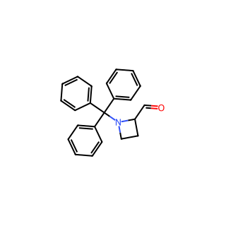 O=CC1CCN1C(c1ccccc1)(c1ccccc1)c1ccccc1